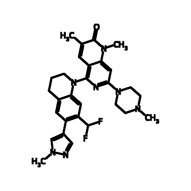 Cc1cc2c(N3CCCc4cc(-c5cnn(C)c5)c(C(F)F)cc43)nc(N3CCN(C)CC3)cc2n(C)c1=O